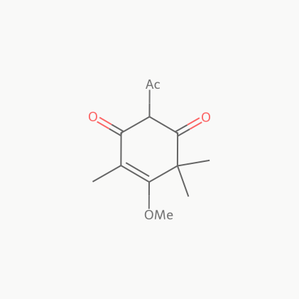 COC1=C(C)C(=O)C(C(C)=O)C(=O)C1(C)C